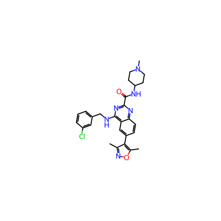 Cc1noc(C)c1-c1ccc2nc(C(=O)NC3CCN(C)CC3)nc(NCc3cccc(Cl)c3)c2c1